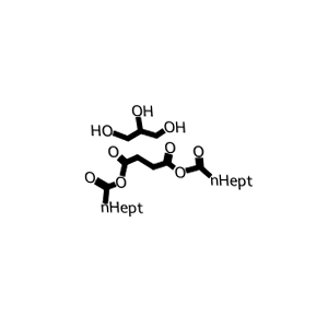 CCCCCCCC(=O)OC(=O)CCC(=O)OC(=O)CCCCCCC.OCC(O)CO